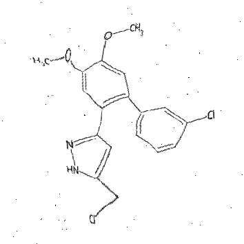 COc1cc(-c2cccc(Cl)c2)c(-c2cc(CCl)[nH]n2)cc1OC